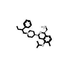 CCC(CN1CCC([C@@H]2Cc3c(ccc(C)c3OC(C)C)[C@H](CN)O2)CC1)c1ccccc1